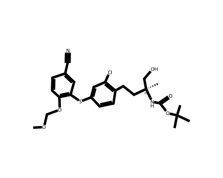 COCOc1ccc(C#N)cc1Sc1ccc(CC[C@@](C)(CO)NC(=O)OC(C)(C)C)c(Cl)c1